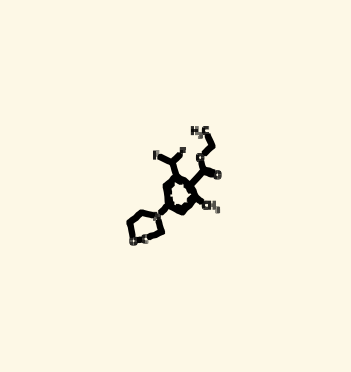 CCOC(=O)c1c(C)cc(N2CCOCC2)cc1C(F)F